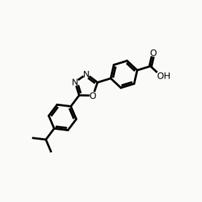 CC(C)c1ccc(-c2nnc(-c3ccc(C(=O)O)cc3)o2)cc1